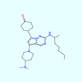 CCCCCC(C)Nc1ncc2c(N3CCC(N(C)C)CC3)cc(C3CCC(=O)CC3)n2n1